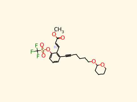 COC(=O)/C=C/c1c(C#CCCCCOC2CCCCO2)cccc1OS(=O)(=O)C(F)(F)F